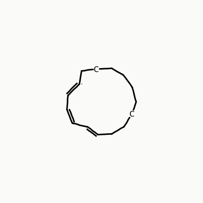 [C]1=C/C=C\C=C\CCCCCCCCC/1